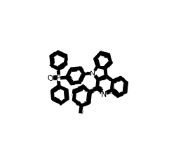 CC1C=C(c2nc3ccccc3c3c4ccccc4n(-c4ccc(P(=O)(c5ccccc5)c5ccccc5)cc4)c23)C=CC1